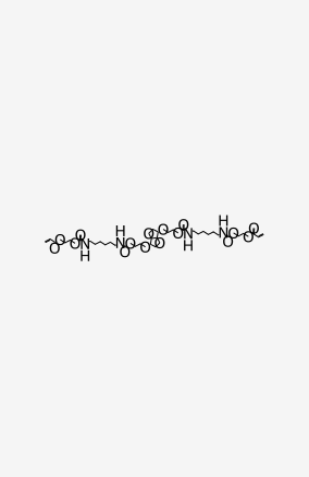 C=CC(=O)OCCOC(=O)NCCCCCCNC(=O)OCCOC1COC2C(OCCOC(=O)NCCCCCCNC(=O)OCCOC(=O)C=C)COC12